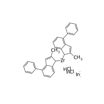 CC1=Cc2c(-c3ccccc3)cccc2[CH]1[Zr][CH]1C(C)=Cc2c(-c3ccccc3)cccc21.Cl.Cl.[In]